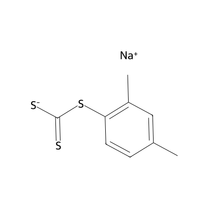 Cc1ccc(SC(=S)[S-])c(C)c1.[Na+]